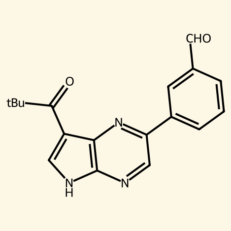 CC(C)(C)C(=O)c1c[nH]c2ncc(-c3cccc(C=O)c3)nc12